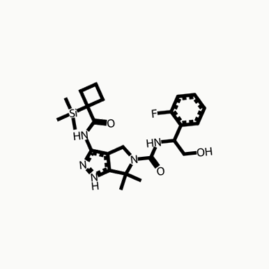 CC1(C)c2[nH]nc(NC(=O)C3([Si](C)(C)C)CCC3)c2CN1C(=O)NC(CO)c1ccccc1F